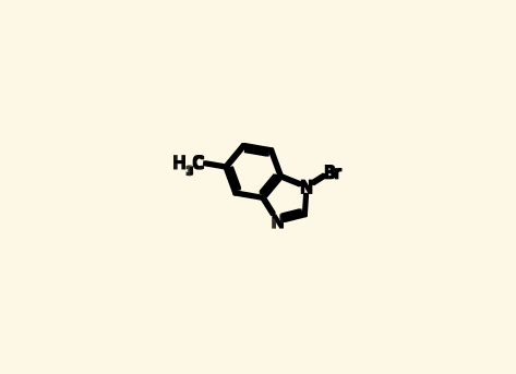 Cc1ccc2c(c1)ncn2Br